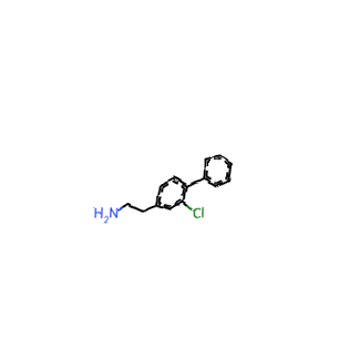 NCCc1ccc(-c2ccccc2)c(Cl)c1